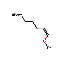 CCCCCCCC/C=C\OCC